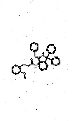 COc1ccccc1CCC(=O)NCC(Cc1ccccc1)NC(c1ccccc1)(c1ccccc1)c1ccccc1